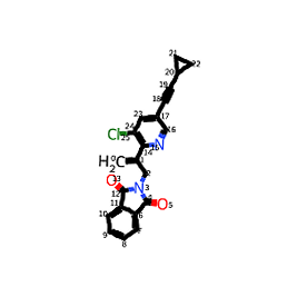 C=C(CN1C(=O)c2ccccc2C1=O)c1ncc(C#CC2CC2)cc1Cl